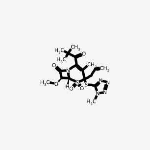 C=CCC1(Sc2nnnn2C)C(C)=C(C(=O)C(C)(C)C)N2C(=O)[C@H](OC)[C@H]2S1(=O)=O